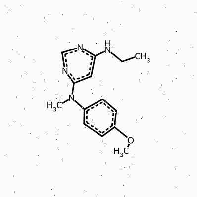 CCNc1cc(N(C)c2ccc(OC)cc2)ncn1